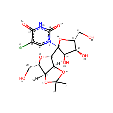 CC1(C)O[C@@H]2[C@H](O1)[C@@H]([C@@]1(n3cc(Br)c(=O)[nH]c3=O)O[C@H](CO)[C@@H](O)[C@H]1O)O[C@H]2CO